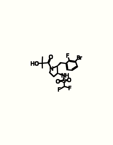 CC(C)(O)C(=O)N1CC[C@H](NS(=O)(=O)C(F)F)[C@@H]1Cc1cccc(Br)c1F